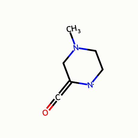 CN1CC[N]C(=C=O)C1